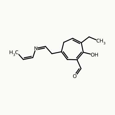 C/C=C\N=C/CC1=CC(C=O)=C(O)C(CC)=CC1